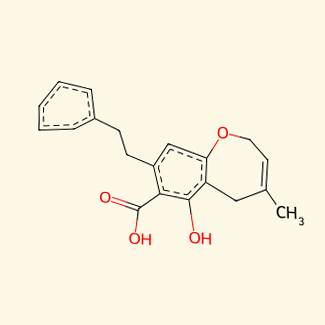 CC1=CCOc2cc(CCc3ccccc3)c(C(=O)O)c(O)c2C1